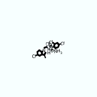 Cc1cn(CC(NS(=O)(=O)c2c(N)cc(Cl)cc2Cl)C(F)(F)F)c2ccc(Cl)cc12